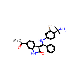 COC(=O)c1ccc2c(c1)NC(=O)C2=C(Nc1ccc(C(C)(C)N)c(Br)c1)c1ccccc1